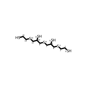 SCCSCC(S)CSCC(S)CSCCS